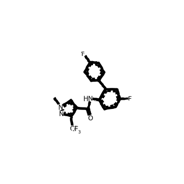 Cn1cc(C(=O)Nc2ccc(F)cc2-c2ccc(F)cc2)c(C(F)(F)F)n1